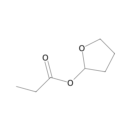 CCC(=O)OC1CCCO1